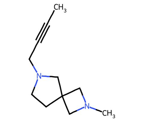 CC#CCN1CCC2(CN(C)C2)C1